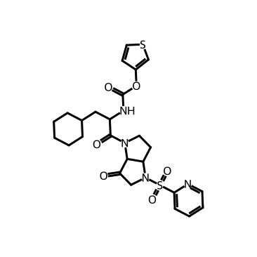 O=C(NC(CC1CCCCC1)C(=O)N1CCC2C1C(=O)CN2S(=O)(=O)c1ccccn1)Oc1ccsc1